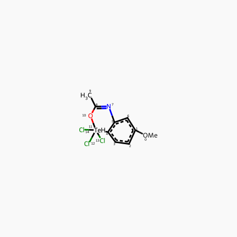 COc1ccc2c(c1)N=C(C)O[TeH]2(Cl)(Cl)Cl